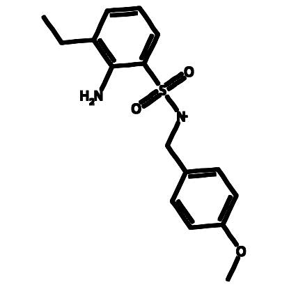 CCc1cccc(S(=O)(=O)[N]Cc2ccc(OC)cc2)c1N